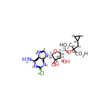 Nc1nc(Cl)nc2c1ncn2[C@@H]1O[C@H](COC(CC2CC2)(C(=O)O)C(=O)O)[C@H](O)[C@H]1O